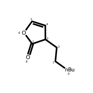 CCCCCCC1C=COC1=O